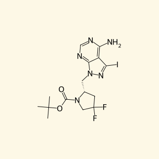 CC(C)(C)OC(=O)N1CC(F)(F)C[C@H]1Cn1nc(I)c2c(N)ncnc21